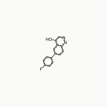 Oc1cnnc2ccc(-c3ccc(F)cc3)cc12